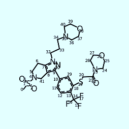 CS(=O)(=O)N1CCc2c(c(-c3ccc(C(F)(F)F)c(SCC(=O)N4CCOCC4)c3)nn2CCCN2CCOCC2)C1